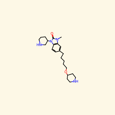 Cn1c(=O)n(C2CCCNC2)c2ccc(CCCCCOC3CCNCC3)cc21